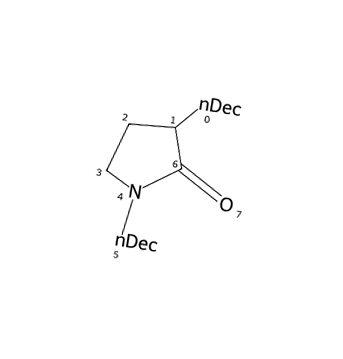 CCCCCCCCCCC1CCN(CCCCCCCCCC)C1=O